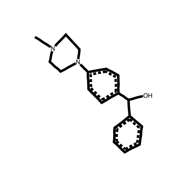 CN1CCN(c2ccc(C(O)c3ccccc3)cc2)CC1